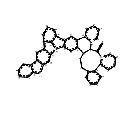 C=C1C2C(CCc3ccccc3-c3cccc[n+]31)c1cc3c(cc1-c1cccc[n+]12)c1cccc2c4cc5c(cc4n3c12)sc1ccccc15